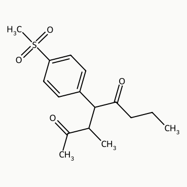 CCCC(=O)C(c1ccc(S(C)(=O)=O)cc1)C(C)C(C)=O